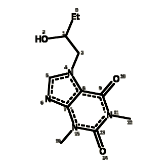 CCC(O)Cn1cnc2c1c(=O)n(C)c(=O)n2C